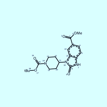 COC(=O)c1ccc2[nH]c(=O)n(C3CCN(C(=O)OC(C)(C)C)CC3)c2c1